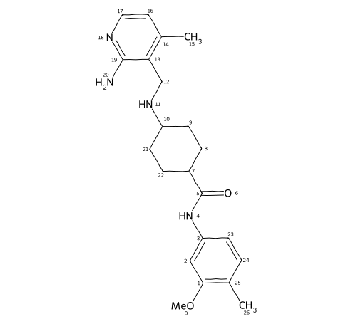 COc1cc(NC(=O)C2CCC(NCc3c(C)ccnc3N)CC2)ccc1C